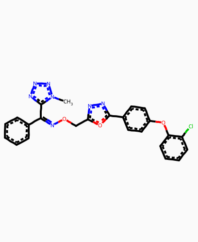 Cn1nnnc1/C(=N\OCc1nnc(-c2ccc(Oc3ccccc3Cl)cc2)o1)c1ccccc1